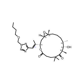 CCCCOCn1nnc(/C=C(\C)[C@@H]2C[C@@H]3O[C@]3(C)CCC[C@H](C)[C@H](O)[C@@H](C)C(=O)C(C)(C)CCC(=O)O2)n1